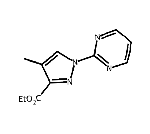 CCOC(=O)c1nn(-c2ncccn2)cc1C